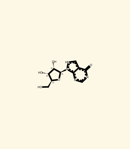 O=c1ncnc2n([C@H]3O[C@@H](CO)[C@H](O)[C@@H]3O)[nH]cc1-2